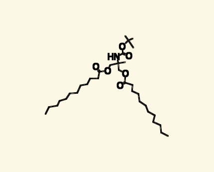 CCCCCCCCCCCC(=O)OCC(C)(COC(=O)CCCCCCCCCCC)NC(=O)OC(C)(C)C